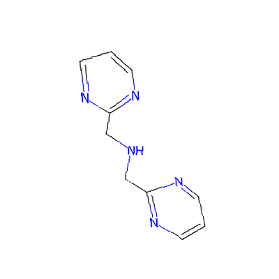 c1cnc(CNCc2ncccn2)nc1